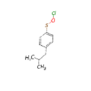 CC(C)Cc1ccc(SOCl)cc1